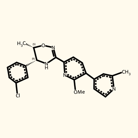 COc1nc(C2=NO[C@@H](C)[C@@H](c3cccc(Cl)c3)N2)ccc1-c1ccnc(C)c1